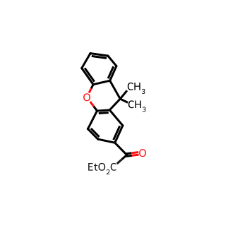 CCOC(=O)C(=O)c1ccc2c(c1)C(C)(C)c1ccccc1O2